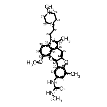 CNC(=O)Nc1cc(C)c2c(c1)C(=O)C(=Cc1c(C)n(CCN3CCN(C)CC3)c3ccc(OC)cc13)O2